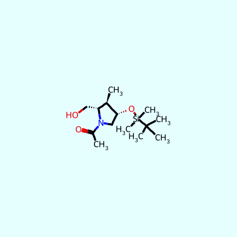 CC(=O)N1C[C@@H](O[Si](C)(C)C(C)(C)C)[C@H](C)[C@H]1CO